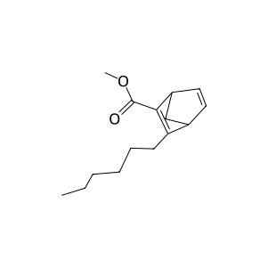 CCCCCCC1=C(C(=O)OC)C2C=CC1C2